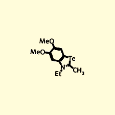 CC[n+]1c(C)[te]c2cc(OC)c(OC)cc21